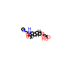 CC(C)C1=C2[C@H]3CC[C@@H]4[C@@]5(C)CC[C@H](OC(=O)CC(C)(C)C(=O)O)C(C)(C)[C@@H]5CC[C@@]4(C)[C@]3(C)CC[C@@]2(NC(=O)CCN2CCCCC2)CC1=O